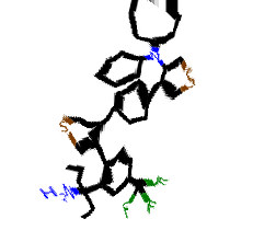 CCC(N)(CC)c1cc(C(F)(F)F)ccc1-c1cscc1-c1ccc(-c2cscc2N(c2ccccc2)c2ccccc2)cc1